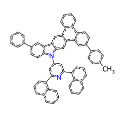 Cc1ccc(-c2ccc3c4ccccc4c4cc5c6cc(-c7ccccc7)ccc6n(-c6cc(-c7cccc8ccccc78)nc(-c7cccc8ccccc78)c6)c5cc4c3c2)cc1